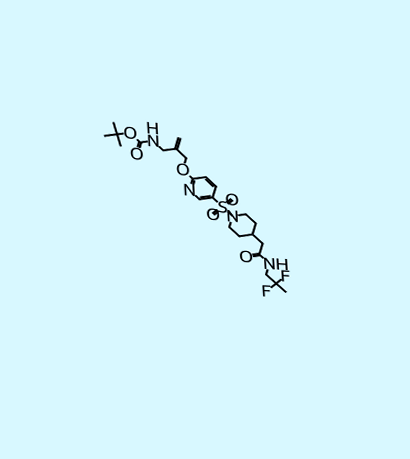 C=C(CNC(=O)OC(C)(C)C)COc1ccc(S(=O)(=O)N2CCC(CC(=O)NCC(C)(F)F)CC2)cn1